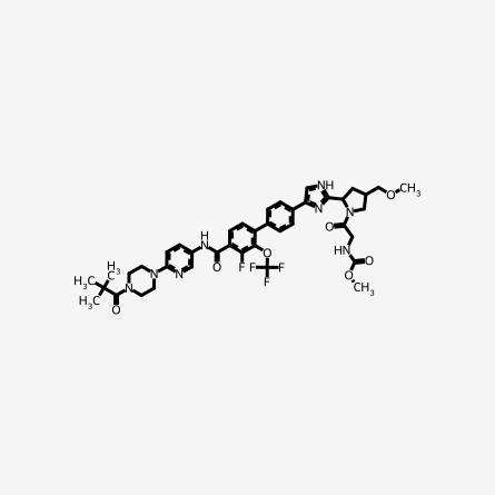 COCC1CC(c2nc(-c3ccc(-c4ccc(C(=O)Nc5ccc(N6CCN(C(=O)C(C)(C)C)CC6)nc5)c(F)c4OC(F)(F)F)cc3)c[nH]2)N(C(=O)CNC(=O)OC)C1